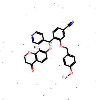 COc1ccc(COc2cc(C#N)ccc2[C@H](Oc2ccc3c(c2C)OCCC3=O)c2ccncc2)cc1